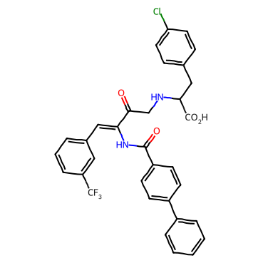 O=C(CNC(Cc1ccc(Cl)cc1)C(=O)O)C(=Cc1cccc(C(F)(F)F)c1)NC(=O)c1ccc(-c2ccccc2)cc1